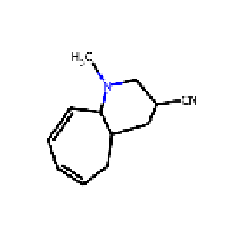 CN1CC(C#N)CC2CC=CC=CC21